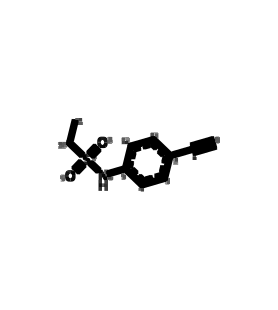 [C]#Cc1ccc(NS(=O)(=O)CC)cc1